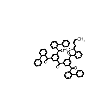 C/C=C\C=C(/C)c1ccccc1C(=O)c1cc(C(=O)c2cc(C(=O)c3ccccc3-c3ccccc3)cc(C(=O)c3ccccc3-c3ccccc3)c2)cc(C(=O)c2ccccc2-c2ccccc2)c1